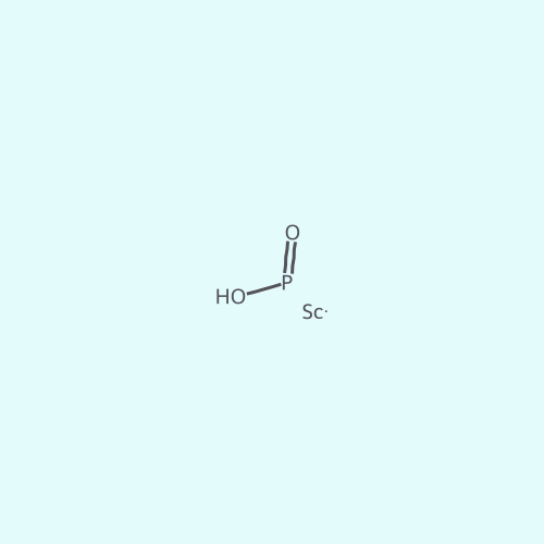 O=PO.[Sc]